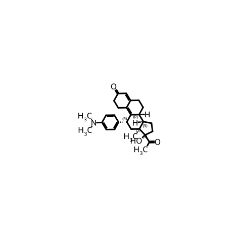 CC(=O)[C@@]1(O)CC[C@H]2[C@H]3CCC4=CC(=O)CCC4=C3[C@@H](c3ccc(N(C)C)cc3)C[C@@]21C